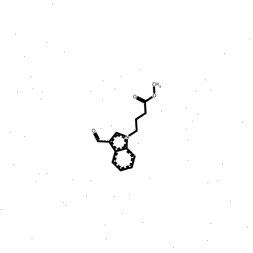 COC(=O)CCCn1cc(C=O)c2ccccc21